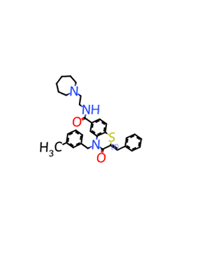 Cc1cccc(CN2C(=O)/C(=C/c3ccccc3)Sc3ccc(C(=O)NCCN4CCCCCC4)cc32)c1